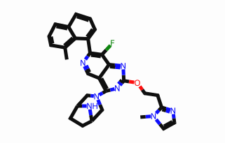 Cc1cccc2cccc(-c3ncc4c(N5CC6CCC(C5)N6)nc(OCCc5nccn5C)nc4c3F)c12